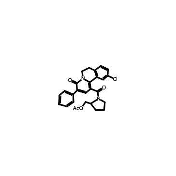 CC(=O)OCC1CCCN1C(=O)c1cc(-c2ccccc2)c(=O)n2c1-c1cc(Cl)ccc1CC2